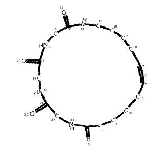 O=C1CCCC/C=C\CCCCNC(=O)CNC(=O)CNC(=O)CN1